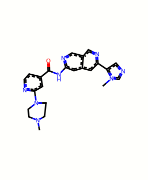 CN1CCN(c2cc(C(=O)Nc3cc4cc(-c5cncn5C)ncc4cn3)ccn2)CC1